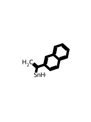 C=[C]([SnH])c1ccc2ccccc2c1